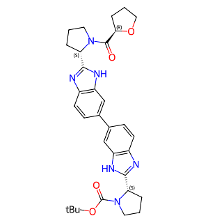 CC(C)(C)OC(=O)N1CCC[C@H]1c1nc2ccc(-c3ccc4nc([C@@H]5CCCN5C(=O)[C@H]5CCCO5)[nH]c4c3)cc2[nH]1